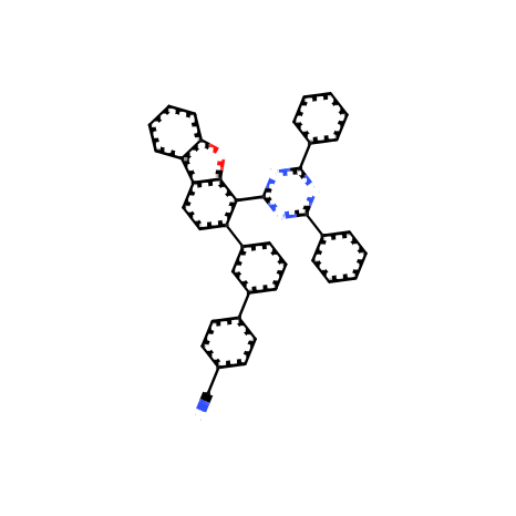 N#Cc1ccc(-c2cccc(-c3ccc4c(oc5ccccc54)c3-c3nc(-c4ccccc4)nc(-c4ccccc4)n3)c2)cc1